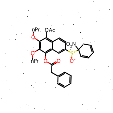 CCCOc1c(OCCC)c(OC(=O)Cc2ccccc2)c2cc([S+]([O-])C3([N+](=O)[O-])C=CC=CC3)ccc2c1OC(C)=O